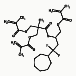 C=C(C)C(=O)OCC(CC(F)(F)C1CCCCCC1)OC(=O)C(C)(COC(=O)C(=C)C)COC(=O)C(=C)C